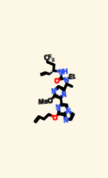 C=CCCOc1nc(-c2nc(C(C)N(CC)C(=O)N[C@H](CC=C)CCC(F)(F)F)cnc2OC)cn2ccnc12